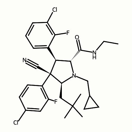 CCNC(=O)[C@H]1[C@H](c2cccc(Cl)c2F)[C@@](C#N)(c2ccc(Cl)cc2F)[C@H](CC(C)(C)C)N1CC1CC1